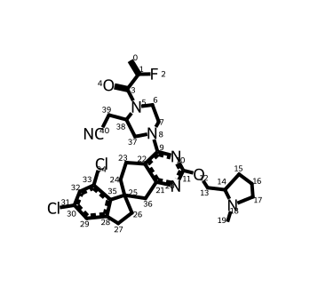 C=C(F)C(=O)N1CCN(c2nc(OCC3CCCN3C)nc3c2CCC2(CCc4cc(Cl)cc(Cl)c42)C3)CC1CC#N